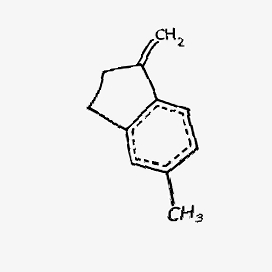 C=C1CCc2cc(C)ccc21